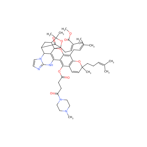 COC(=O)/C(C)=C\CC12OC(C)(C)C3CC(C1=O)C1C4=C(Nc5nccn51)c1c(OC(=O)CCC(=O)N5CCN(C)CC5)c5c(c(CC=C(C)C)c1OC432)OC(C)(CCC=C(C)C)C=C5